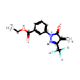 C=C1C(=O)N(c2cccc(C(=O)OCC)c2)N=C1C(F)(F)F